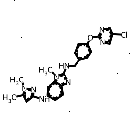 Cc1cc(Nc2ccc3nc(NCc4ccc(Oc5ncc(Cl)cn5)cc4)n(C)c3c2)nn1C